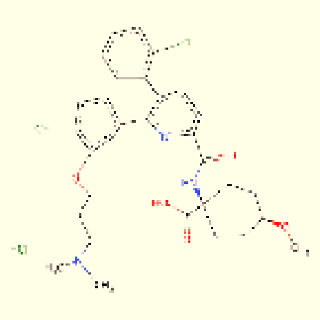 CO[C@H]1CC[C@](NC(=O)c2ccc(-c3ccccc3Cl)c(-c3ccc(Cl)c(OCCCN(C)C)c3)n2)(C(=O)O)CC1.Cl